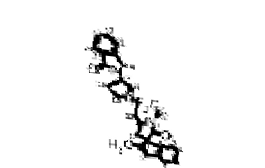 CC1=Cc2ccccc2C1(CCCCN1CCC(N2Cc3ccccc3C2=O)C1)C(=O)NCC(F)(F)F